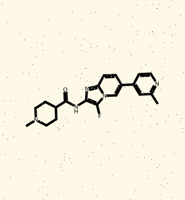 Cc1cc(-c2ccc3nc(NC(=O)C4CCN(C)CC4)c(F)n3c2)ccn1